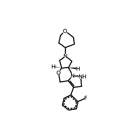 Fc1ccccc1C1=C2CO[C@H]3CN(C4CCOCC4)C[C@@H]3N2NC1